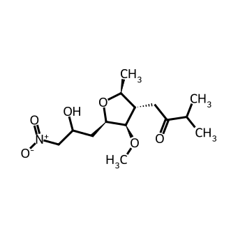 CO[C@@H]1[C@@H](CC(=O)C(C)C)[C@H](C)O[C@@H]1CC(O)C[N+](=O)[O-]